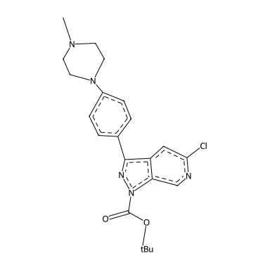 CN1CCN(c2ccc(-c3nn(C(=O)OC(C)(C)C)c4cnc(Cl)cc34)cc2)CC1